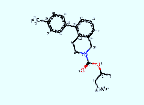 COCC(C)OC(=O)N1CCc2c(cccc2-c2ccc(C(F)(F)F)cc2)C1